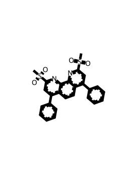 CS(=O)(=O)c1cc(-c2ccccc2)c2ccc3c(-c4ccccc4)cc(S(C)(=O)=O)nc3c2n1